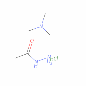 CC(=O)NN.CN(C)C.Cl